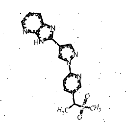 CC(c1ccc(-n2cc(-c3nc4cccnc4[nH]3)cn2)nc1)S(C)(=O)=O